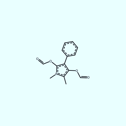 Cc1c(OC=O)c(-c2ccccc2)c(OC=O)n1C